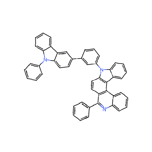 c1ccc(-c2nc3ccccc3c3c2ccc2c3c3ccccc3n2-c2cccc(-c3ccc4c(c3)c3ccccc3n4-c3ccccc3)c2)cc1